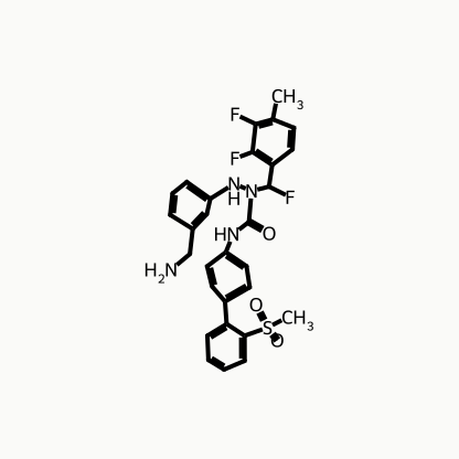 Cc1ccc(C(F)N(Nc2cccc(CN)c2)C(=O)Nc2ccc(-c3ccccc3S(C)(=O)=O)cc2)c(F)c1F